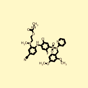 CNC(=O)OCCN(C)c1cc(C#N)ccc1Nc1cc(F)c(S(=O)(=O)N(Cc2ccc(OC)cc2OC)c2ccccn2)cc1Cl